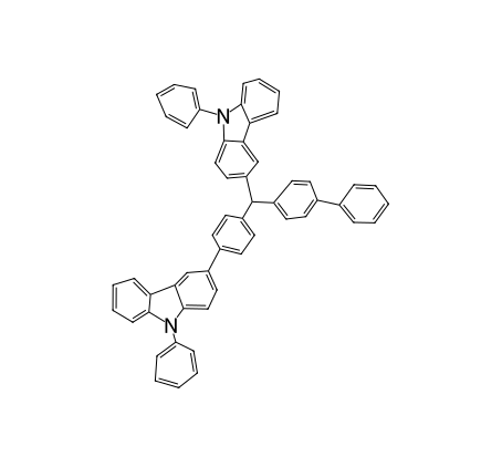 c1ccc(-c2ccc(C(c3ccc(-c4ccc5c(c4)c4ccccc4n5-c4ccccc4)cc3)c3ccc4c(c3)c3ccccc3n4-c3ccccc3)cc2)cc1